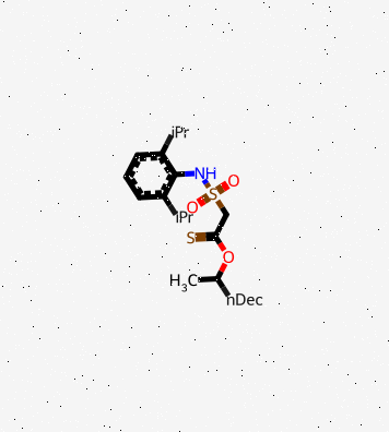 CCCCCCCCCCC(C)OC(=S)CS(=O)(=O)Nc1c(C(C)C)cccc1C(C)C